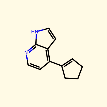 C1=C(c2ccnc3[nH]ccc23)CCC1